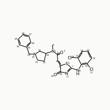 CN(C(=O)C=C1SC(Nc2c(Cl)cccc2Cl)=NC1=O)C1CCN(Cc2ccccc2)C1